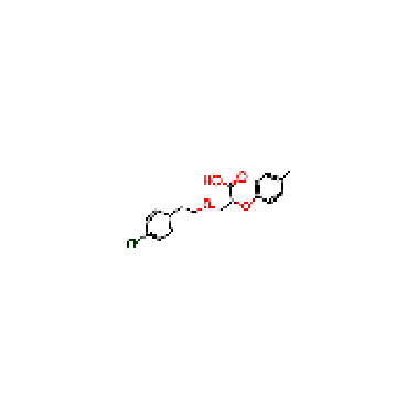 Cc1ccc(OC(COCCc2ccc(Cl)cc2)C(=O)O)cc1